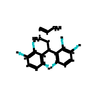 C=CC(=O)O.O=C(O)CC(c1c(F)ccc(F)c1F)c1c(F)ccc(F)c1F